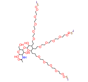 CC(=O)NC1C(O)OC(CO)C(OC2OC(CCCOCCOCCOCCOCCOOSI)C(CCOCCOCCOCCOCCOOSI)C(CCOCCOCCOCCOCCOOSI)C2O)C1O